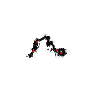 [N-]=[N+]=NCOC1CC(n2cc(C#CCNC(=O)COC(COc3cccc(C(=O)NCCCCCNC(=O)c4ccc5oc(-c6cc7ccc(NCCCS(=O)(=O)O)cc7oc6=O)nc5c4)c3)N=[N+]=[N-])c(N)nc2=O)OC1COP(=O)(O)OP(=O)(O)OP(=O)(O)O